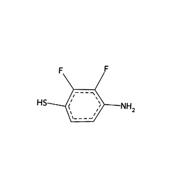 Nc1ccc(S)c(F)c1F